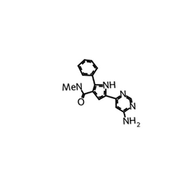 CNC(=O)c1cc(-c2cc(N)ncn2)[nH]c1-c1ccccc1